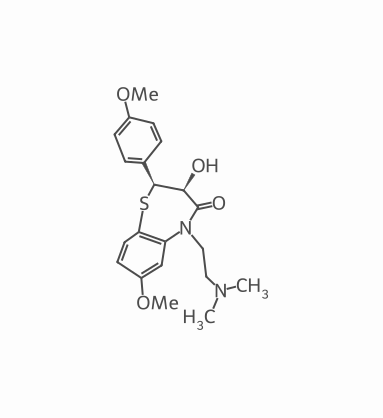 COc1ccc([C@@H]2Sc3ccc(OC)cc3N(CCN(C)C)C(=O)[C@@H]2O)cc1